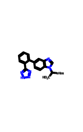 CCCCCCC(C(=O)O)n1cnc2cc(-c3ccccc3-c3nn[nH]n3)ccc21